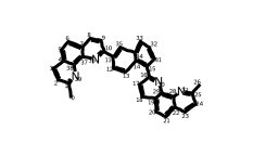 Cc1ccc2ccc3ccc(-c4ccc5c(-c6ccc7ccc8ccc(C)nc8c7n6)cccc5c4)nc3c2n1